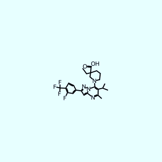 CCC1(C(=O)O)CCCN(c2c(C(C)C)c(C)nc3cc(-c4ccc(C(F)(F)F)c(F)c4)nn23)C1